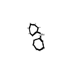 C1=C(NC2=CCCCCC2)CCCCC1